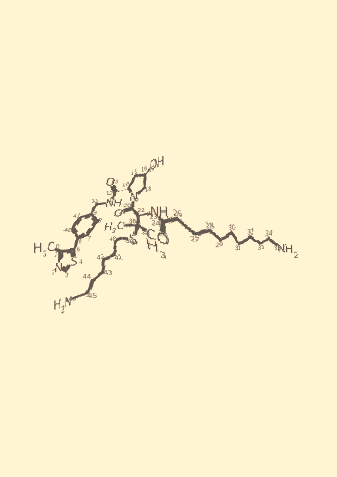 Cc1ncsc1-c1ccc(CNC(=O)[C@@H]2C[C@@H](O)CN2C(=O)[C@@H](NC(=O)CCCCCCCCCN)C(C)(C)SCCCCCCN)cc1